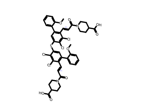 COc1ccccc1-c1cc(Sc2cc(-c3ccccc3OC)c(/C=C/C(=O)N3CCC(C(=O)O)CC3)c(Cl)c2Cl)c(Cl)c(Cl)c1/C=C/C(=O)N1CCC(C(=O)O)CC1